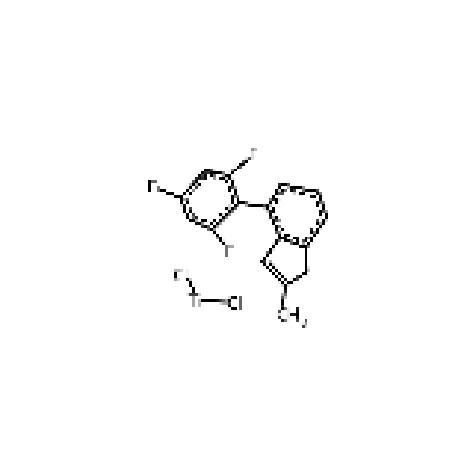 CC1=Cc2c(cccc2-c2c(F)cc(F)cc2F)C1.[Cl][Ti][Cl]